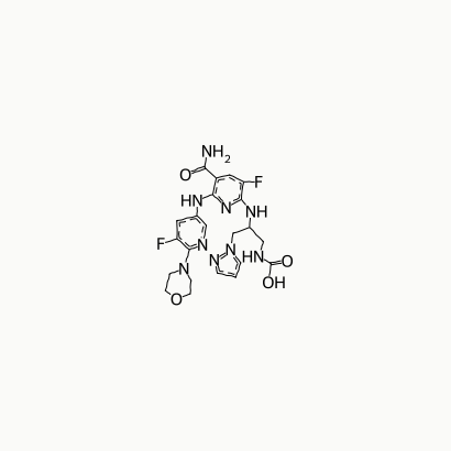 NC(=O)c1cc(F)c(NC(CNC(=O)O)Cn2cccn2)nc1Nc1cnc(N2CCOCC2)c(F)c1